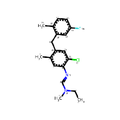 CCN(C)C=Nc1cc(C)c(Cc2cc(F)ccc2C)cc1Cl